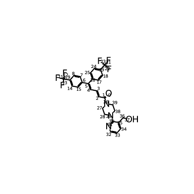 O=C(C=CC=C(c1ccc(C(F)(F)F)cc1)c1ccc(C(F)(F)F)cc1)N1CCN(c2ncccc2CO)CC1